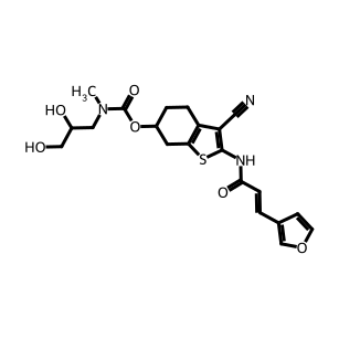 CN(CC(O)CO)C(=O)OC1CCc2c(sc(NC(=O)C=Cc3ccoc3)c2C#N)C1